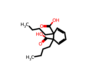 CCCCC1(C(=O)O)C=CC=CC1(CCCC)C(=O)O